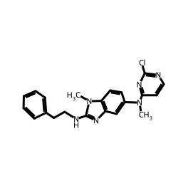 CN(c1ccc2c(c1)nc(NCCc1ccccc1)n2C)c1ccnc(Cl)n1